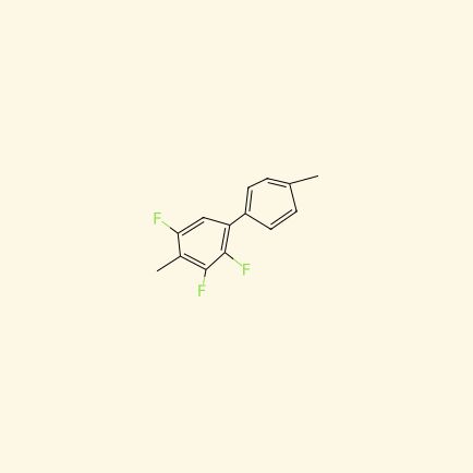 Cc1ccc(-c2cc(F)c(C)c(F)c2F)cc1